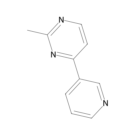 Cc1nccc(-c2cccnc2)n1